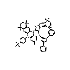 Cc1cc2c3c(c1)N1c4cc(-c5ccccc5)cc(c4)-c4cccc(c4)C4(C)CCC(C)(C)c5cc6sc(c1c6cc54)B3c1cc3c(cc1N2c1ccc(C(C)(C)C)cc1)C(C)(C)CCC3(C)C